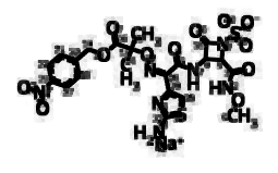 CONC(=O)C1C(NC(=O)C(=NOC(C)(C)C(=O)OCc2ccc([N+](=O)[O-])cc2)c2csc(N)n2)C(=O)N1S(=O)(=O)[O-].[Na+]